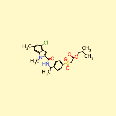 Cc1cc(Cl)c2cc(C(=O)N[C@H](C)c3ccc(S(=O)(=O)CC(=O)OCC(C)C)cc3)n(C)c2c1